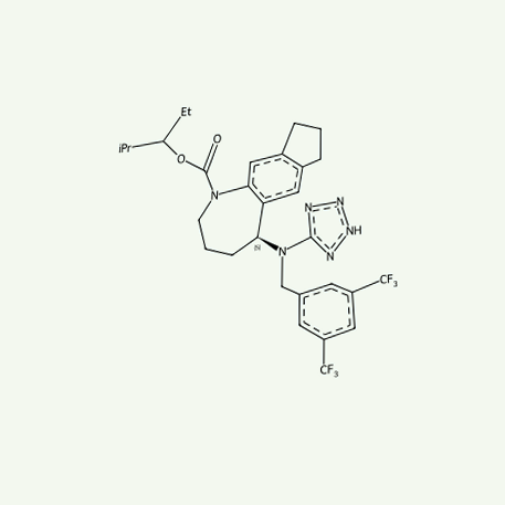 CCC(OC(=O)N1CCC[C@H](N(Cc2cc(C(F)(F)F)cc(C(F)(F)F)c2)c2nn[nH]n2)c2cc3c(cc21)CCC3)C(C)C